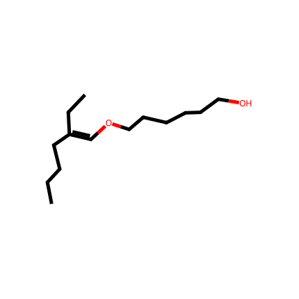 CCCCC(=COCCCCCCO)CC